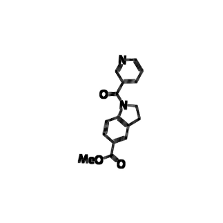 COC(=O)c1ccc2c(c1)CCN2C(=O)c1cccnc1